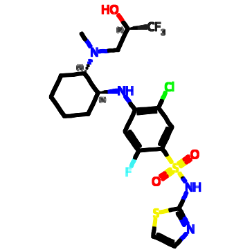 CN(C[C@@H](O)C(F)(F)F)[C@H]1CCCC[C@@H]1Nc1cc(F)c(S(=O)(=O)Nc2nccs2)cc1Cl